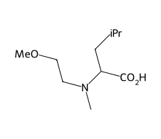 COCCN(C)C(CC(C)C)C(=O)O